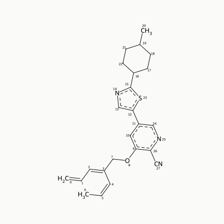 C=C/C=C(\C=C/C)COc1cc(-c2cnc(C3CCC(C)CC3)s2)cnc1C#N